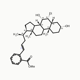 CC[C@H]1[C@@H](O)[C@H]2C3CC[C@H]([C@H](C)C/C=C/c4ccccc4C(=O)OC)[C@@]3(C)CCC2[C@@]2(C)CC[C@@H](O)C[C@@H]12